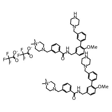 COc1ccc(CNC(=O)c2cccc(CN3CC[N+](C)(C)CC3)c2)cc1-c1cccc(CN2CCNCC2)c1.COc1ccc(CNC(=O)c2cccc(CN3CC[N+](C)(C)CC3)c2)cc1-c1cccc(CN2CCNCC2)c1.O=C([O-])C(F)(F)F.O=C([O-])C(F)(F)F